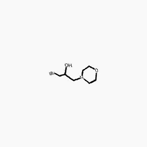 CC(C)(C)CC(O)CN1CCOCC1